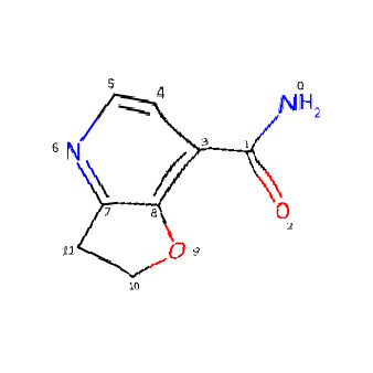 NC(=O)c1ccnc2c1OCC2